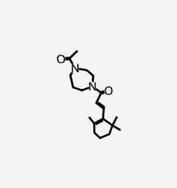 CC(=O)N1CCCN(C(=O)/C=C/C2=C(C)CCCC2(C)C)CC1